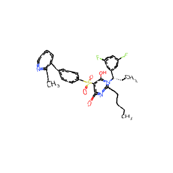 CCCCc1nc(=O)c(S(=O)(=O)c2ccc(-c3cccnc3C)cc2)c(O)n1[C@@H](CC)c1cc(F)cc(F)c1